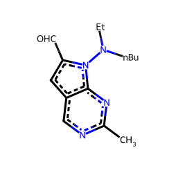 CCCCN(CC)n1c(C=O)cc2cnc(C)nc21